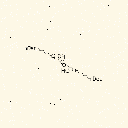 CCCCCCCCCCCCCCCCOCC(O)COOCC(O)COCCCCCCCCCCCCCCCC